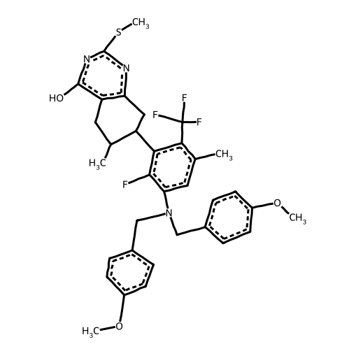 COc1ccc(CN(Cc2ccc(OC)cc2)c2cc(C)c(C(F)(F)F)c(C3Cc4nc(SC)nc(O)c4CC3C)c2F)cc1